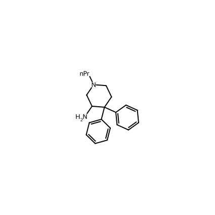 CCCN1CCC(c2ccccc2)(c2ccccc2)C(N)C1